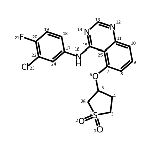 O=S1(=O)CCC(Oc2cccc3ncnc(Nc4ccc(F)c(Cl)c4)c23)C1